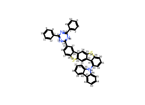 c1ccc(-c2nc(-c3ccccc3)nc(-c3ccc4sc5cc6c(cc5c4c3)sc3cccc(-n4c5ccccc5c5ccccc54)c36)n2)cc1